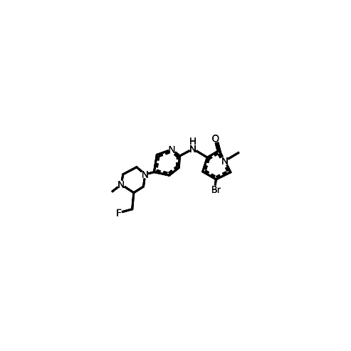 CN1CCN(c2ccc(Nc3cc(Br)cn(C)c3=O)nc2)CC1CF